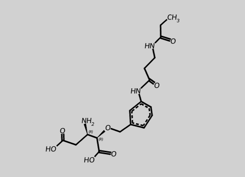 CCC(=O)NCCC(=O)Nc1cccc(CO[C@@H](C(=O)O)[C@H](N)CC(=O)O)c1